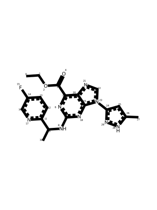 CCOC(=O)c1nc(NC(C)c2ccc(F)cn2)nc2c1ncn2-c1cc(C)[nH]n1